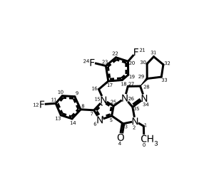 CCN1C(=O)c2nc(-c3ccc(F)cc3)n(Cc3ccc(F)cc3F)c2N2C[C@@H](C3CCCC3)N=C12